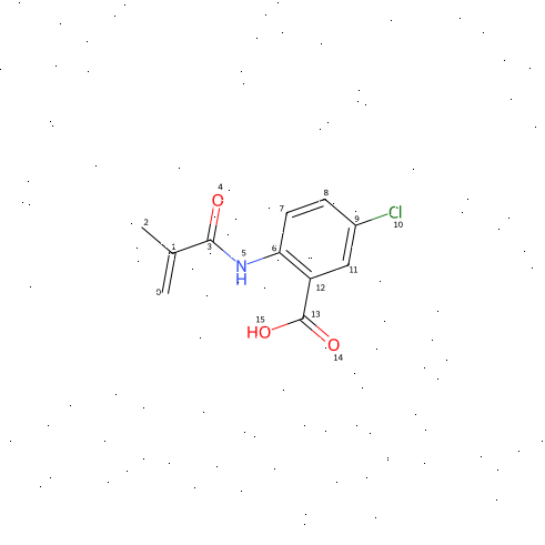 C=C(C)C(=O)Nc1ccc(Cl)cc1C(=O)O